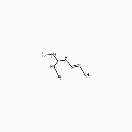 CCNC(NC=C[SiH3])NCC